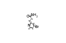 NC(=O)C[CH]c1cc(Br)ccn1